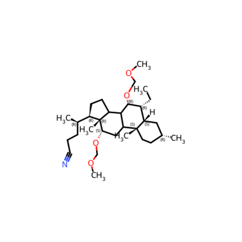 CC[C@H]1[C@@H](OCOC)C2C3CC[C@H]([C@H](C)CCC#N)[C@@]3(C)[C@@H](OCOC)CC2[C@@]2(C)CC[C@@H](C)C[C@@H]12